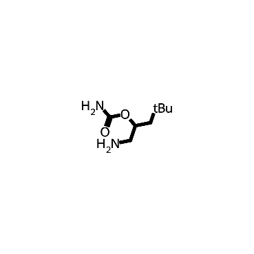 CC(C)(C)CC(CN)OC(N)=O